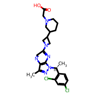 Cc1nn([C@H](C)c2ccc(Cl)cc2Cl)c2nc(N3CC(C4CCCN(CC(=O)O)C4)C3)cnc12